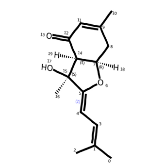 CC(C)=C/C=C1\O[C@@H]2CC(C)=CC(=O)[C@@H]2[C@]1(C)O